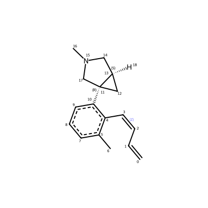 C=C/C=C\c1c(C)cccc1[C@@]12C[C@@H]1CN(C)C2